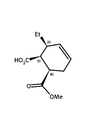 CC[C@H]1C=CC[C@@H](C(=O)OC)[C@H]1C(=O)O